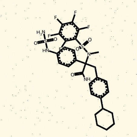 CN(C(Cc1ccc(C2CCCCC2)cc1)(C(N)=O)c1ccc(NS(N)(=O)=O)cc1)S(=O)(=O)c1c(F)c(F)c(F)c(F)c1F